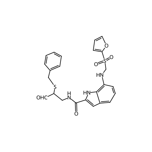 O=CC(CNC(=O)c1cc2cccc(NCS(=O)(=O)c3ccco3)c2[nH]1)SCc1ccccc1